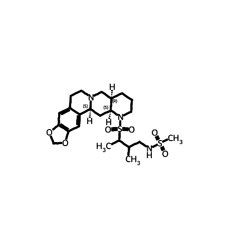 CC(CNS(C)(=O)=O)C(C)S(=O)(=O)N1CCC[C@@H]2CN3CCc4cc5c(cc4[C@@H]3C[C@@H]21)OCO5